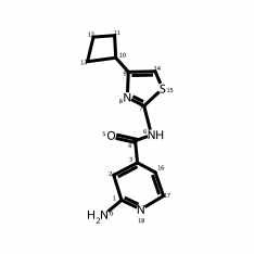 Nc1cc(C(=O)Nc2nc(C3CCC3)cs2)ccn1